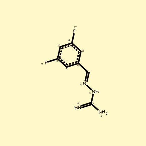 N=C(N)NN=Cc1cc(F)cc(F)c1